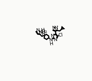 Cn1ncc(-c2nc(NC3CCC(N)(Cc4ccn[nH]4)CC3)ncc2Cl)c1CC1CC1